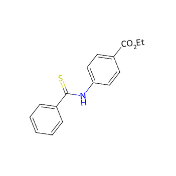 CCOC(=O)c1ccc(NC(=S)c2ccccc2)cc1